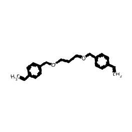 C=Cc1ccc(COCCCOCc2ccc(C=C)cc2)cc1